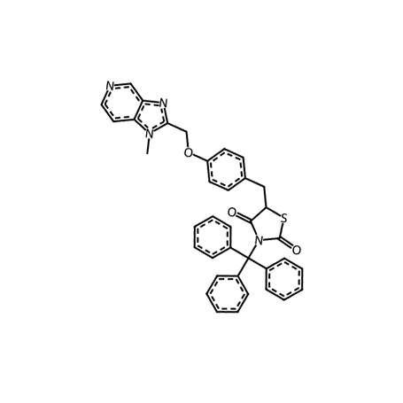 Cn1c(COc2ccc(CC3SC(=O)N(C(c4ccccc4)(c4ccccc4)c4ccccc4)C3=O)cc2)nc2cnccc21